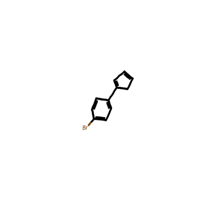 Brc1ccc(C2=CC=CC2)cc1